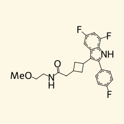 COCCNC(=O)CC1CC(c2c(-c3ccc(F)cc3)[nH]c3c(F)cc(F)cc23)C1